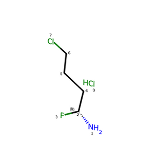 Cl.N[C@H](F)CCCCl